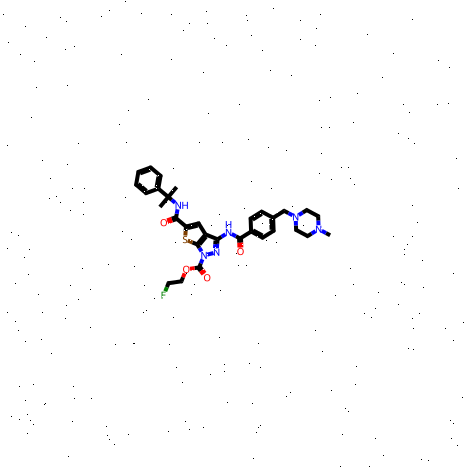 CN1CCN(Cc2ccc(C(=O)Nc3nn(C(=O)OCCF)c4sc(C(=O)NC(C)(C)c5ccccc5)cc34)cc2)CC1